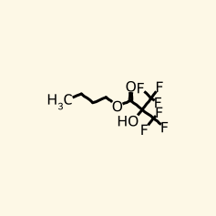 CCCCOC(=O)C(O)(C(F)(F)F)C(F)(F)F